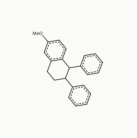 COc1ccc2c(c1)CCC(c1ccccc1)C2c1cc[c]cc1